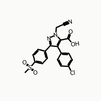 CS(=O)(=O)c1ccc(-c2nn(CC#N)c(C(=O)O)c2-c2ccc(Cl)cc2)cc1